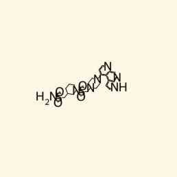 NS(=O)(=O)CC1CCCN(S(=O)(=O)CN2CCN(c3ccnc4cnc5[nH]ccc5c34)CC2)C1